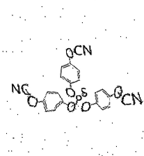 N#COc1ccc(OP(=S)(Oc2ccc(OC#N)cc2)Oc2ccc(OC#N)cc2)cc1